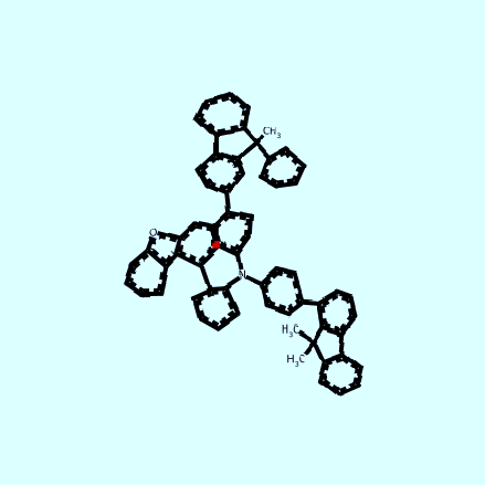 CC1(C)c2ccccc2-c2cccc(-c3ccc(N(c4ccc(-c5ccc6c(c5)C(C)(c5ccccc5)c5ccccc5-6)cc4)c4ccccc4-c4cccc5oc6ccccc6c45)cc3)c21